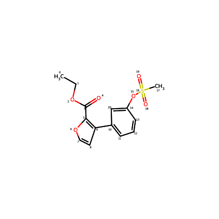 CCOC(=O)c1occc1-c1cccc(OS(C)(=O)=O)c1